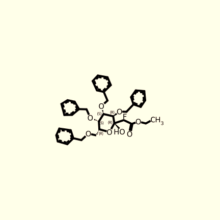 CCOC(=O)C(F)[C@]1(O)O[C@H](COCc2ccccc2)[C@H](OCc2ccccc2)[C@H](OCc2ccccc2)[C@H]1OCc1ccccc1